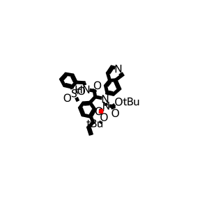 C=CCc1cccc(C(C(=O)NCc2ccccc2S(C)(=O)=O)N(c2ccc3cnccc3c2)N(C(=O)OC(C)(C)C)C(=O)OC(C)(C)C)c1